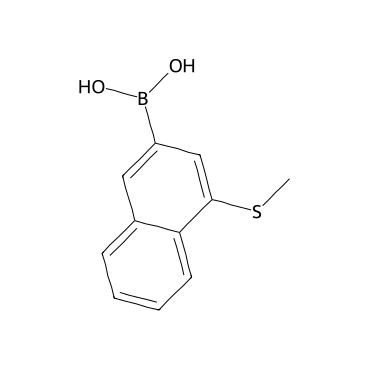 CSc1cc(B(O)O)cc2ccccc12